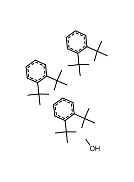 CC(C)(C)c1ccccc1C(C)(C)C.CC(C)(C)c1ccccc1C(C)(C)C.CC(C)(C)c1ccccc1C(C)(C)C.CO